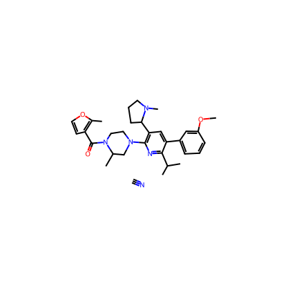 C#N.COc1cccc(-c2cc(C3CCCN3C)c(N3CCN(C(=O)c4ccoc4C)C(C)C3)nc2C(C)C)c1